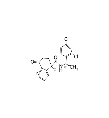 C[C@@H](NC(=O)C1(F)CCC(=O)c2ncccc21)c1ccc(Cl)cc1Cl